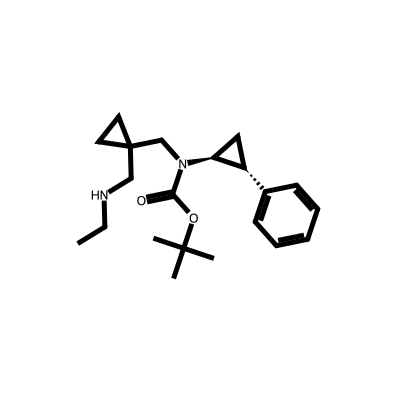 CCNCC1(CN(C(=O)OC(C)(C)C)[C@H]2C[C@@H]2c2ccccc2)CC1